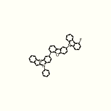 Fc1cccc2c1c1ccccc1n2-c1ccc2oc3c(-c4ccc5c(c4)n4c6ccccc6cc4n5-c4ccccc4)cccc3c2c1